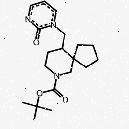 CC(C)(C)OC(=O)N1CCC(Cn2cccnc2=O)C2(CCCC2)C1